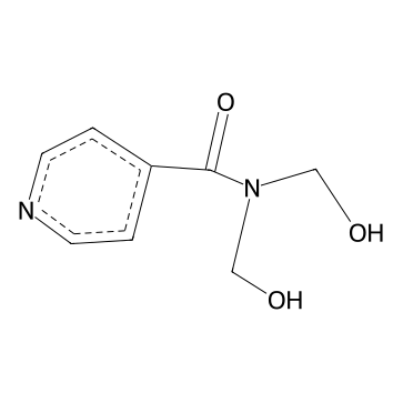 O=C(c1ccncc1)N(CO)CO